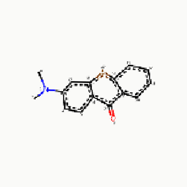 CN(C)c1ccc2c(=O)c3ccccc3sc2c1